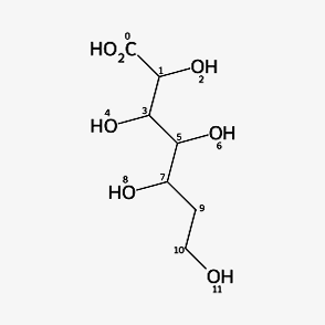 O=C(O)C(O)C(O)C(O)C(O)CCO